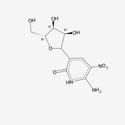 Nc1[nH]c(=O)c(C2O[C@H](CO)[C@@H](O)[C@H]2O)cc1[N+](=O)[O-]